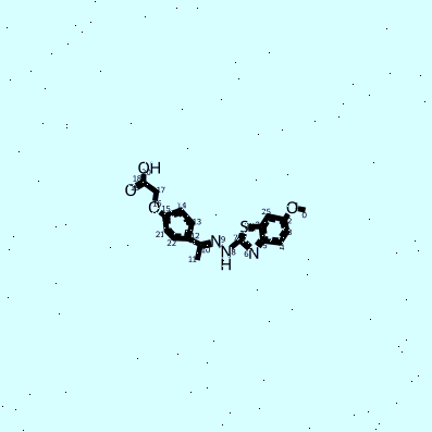 COc1ccc2nc(N/N=C(\C)c3ccc(OCC(=O)O)cc3)sc2c1